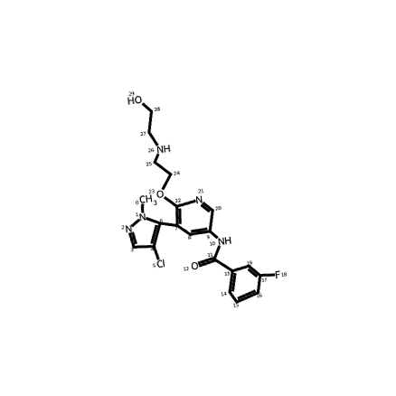 Cn1ncc(Cl)c1-c1cc(NC(=O)c2cccc(F)c2)cnc1OCCNCCO